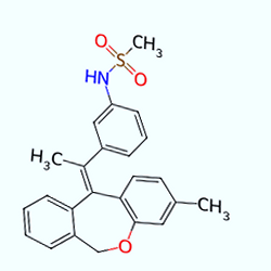 C/C(=C1\c2ccccc2COc2cc(C)ccc21)c1cccc(NS(C)(=O)=O)c1